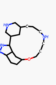 C1CNCCCC2CNCC(C2)C2NNC3CCC(CC32)OC1